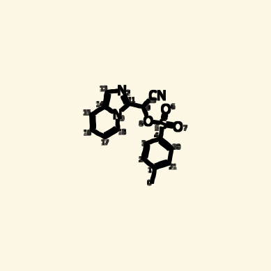 Cc1ccc(S(=O)(=O)OC(C#N)c2ncc3ccccn23)cc1